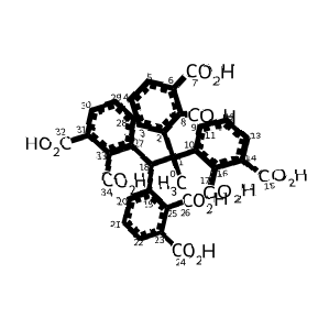 CC(c1cccc(C(=O)O)c1C(=O)O)(c1cccc(C(=O)O)c1C(=O)O)C(c1cccc(C(=O)O)c1C(=O)O)c1cccc(C(=O)O)c1C(=O)O